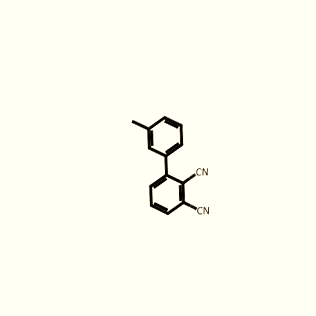 Cc1cccc(-c2cccc(C#N)c2C#N)c1